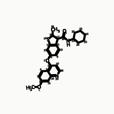 COc1ccc2c(Oc3ccc4c(c3)SC(C)C4C(=O)NC3CCCCC3)ccnc2c1